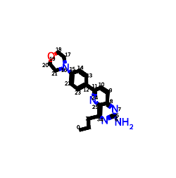 CCCc1nc(N)nc2ccc(-c3ccc(N4CCOCC4)cc3)nc12